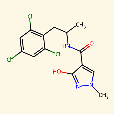 CC(Cc1c(Cl)cc(Cl)cc1Cl)NC(=O)c1cn(C)nc1O